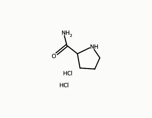 Cl.Cl.NC(=O)C1CCCN1